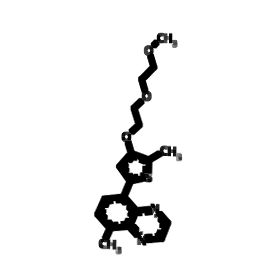 COCCOCCOc1cc(-c2ccc(C)c3nccnc23)sc1C